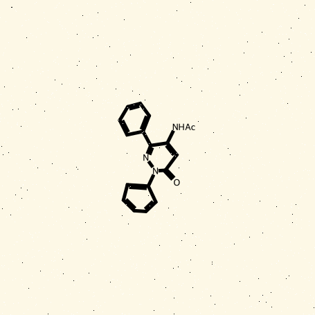 CC(=O)Nc1cc(=O)n(-c2ccccc2)nc1-c1ccccc1